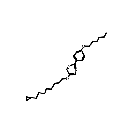 CCCCCCOc1ccc(-c2ncc(OCCCCCCCCC3CC3)cn2)cc1